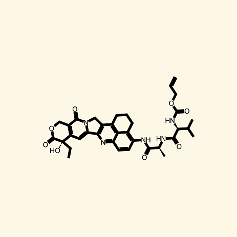 C=CCOC(=O)N[C@H](C(=O)N[C@@H](C)C(=O)Nc1ccc2nc3c(c4c2c1CCC4)Cn1c-3cc2c(c1=O)COC(=O)[C@]2(O)CC)C(C)C